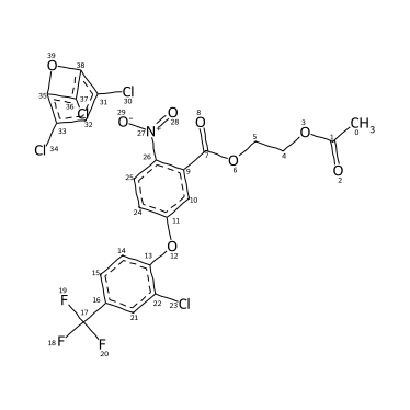 CC(=O)OCCOC(=O)c1cc(Oc2ccc(C(F)(F)F)cc2Cl)ccc1[N+](=O)[O-].Clc1cc(Cl)c2c(Cl)c1O2